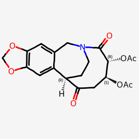 CC(=O)O[C@H]1CC(=O)[C@@H]2CCN(Cc3cc4c(cc32)OCO4)C(=O)[C@@H]1OC(C)=O